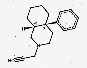 C#CCN1CC[C@@]2(c3ccccc3)CCCC[C@H]2C1